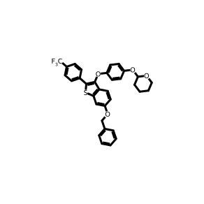 FC(F)(F)c1ccc(-c2sc3cc(OCc4ccccc4)ccc3c2Oc2ccc(OC3CCCCO3)cc2)cc1